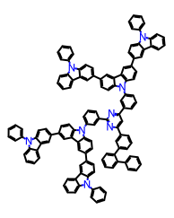 c1ccc(-c2ccccc2-c2cccc(-c3cc(-c4cccc(-n5c6ccc(-c7ccc8c(c7)c7ccccc7n8-c7ccccc7)cc6c6cc(-c7ccc8c(c7)c7ccccc7n8-c7ccccc7)ccc65)c4)nc(-c4cccc(-n5c6ccc(-c7ccc8c(c7)c7ccccc7n8-c7ccccc7)cc6c6cc(-c7ccc8c(c7)c7ccccc7n8-c7ccccc7)ccc65)c4)n3)c2)cc1